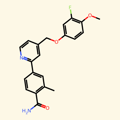 COc1ccc(OCc2ccnc(-c3ccc(C(N)=O)c(C)c3)c2)cc1F